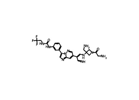 N=C/C(=C\NC1(CN)CN(C(=O)CN)C1)c1cnn2c(-c3cccc(NC(=O)NCC(F)(F)F)c3)cnc2c1